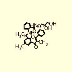 Cc1cc([C@@H](C)Nc2ccccc2C(=O)NOC[C@H](O)CO)c2oc(-c3ccccc3)c(C)c(=O)c2c1